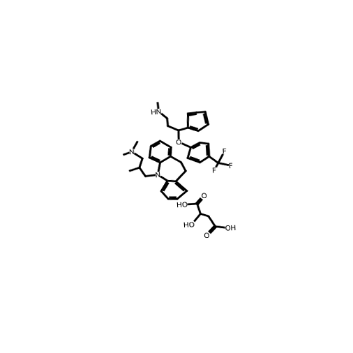 CC(CN(C)C)CN1c2ccccc2CCc2ccccc21.CNCCC(Oc1ccc(C(F)(F)F)cc1)c1ccccc1.O=C(O)CC(O)C(=O)O